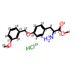 COC(=O)C(N)Cc1ccc(OCc2cccc(OC)c2)cc1.Cl